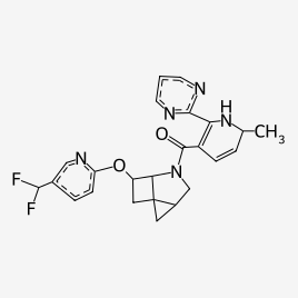 CC1C=CC(C(=O)N2CC3CC34CC(Oc3ccc(C(F)F)cn3)C24)=C(c2ncccn2)N1